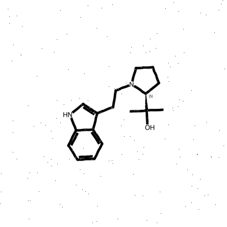 CC(C)(O)[C@@H]1CCCN1CCc1c[nH]c2ccccc12